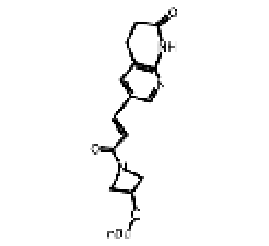 CCCCOC1CN(C(=O)/C=C/c2cnc3c(c2)CCC(=O)N3)C1